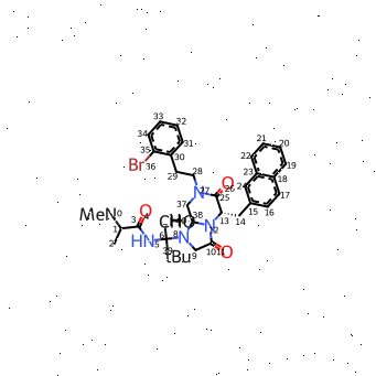 CNC(C)C(=O)NC(C=O)(N1CC(=O)N2[C@@H](Cc3ccc4ccccc4c3)C(=O)N(CCc3ccccc3Br)C[C@@H]21)C(C)(C)C